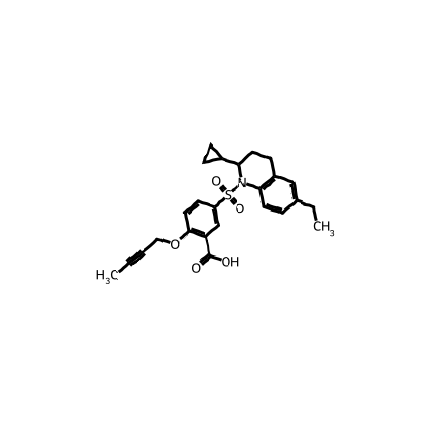 CC#CCOc1ccc(S(=O)(=O)N2c3ccc(CC)cc3CCC2C2CC2)cc1C(=O)O